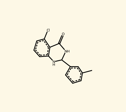 Cc1cccc(C2NC(=O)c3c(Cl)cccc3N2)c1